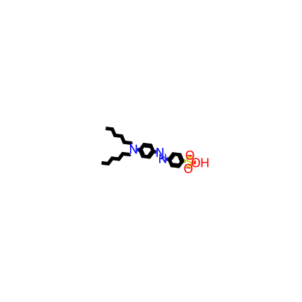 CCCCCCN(CCCCCC)c1ccc(/N=N/c2ccc(S(=O)(=O)O)cc2)cc1